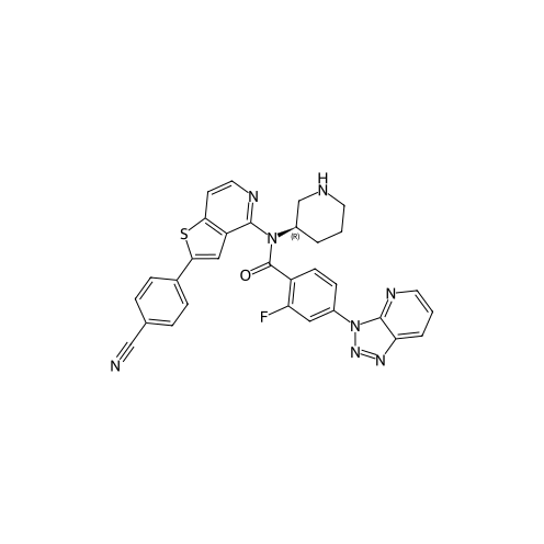 N#Cc1ccc(-c2cc3c(N(C(=O)c4ccc(-n5nnc6cccnc65)cc4F)[C@@H]4CCCNC4)nccc3s2)cc1